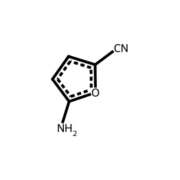 N#Cc1ccc(N)o1